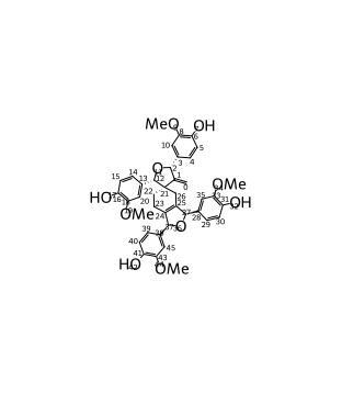 C=C1[C@@H](c2ccc(O)c(OC)c2)O[C@@H](c2ccc(O)c(OC)c2)[C@@]12CCC1=C(C2)[C@@H](c2ccc(O)c(OC)c2)O[C@H]1c1ccc(O)c(OC)c1